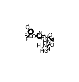 COc1ccc(Oc2ccc(CNC(=O)C3(NC(=O)/C(N)=N/O)CC3)nc2)c(C(F)(F)F)c1